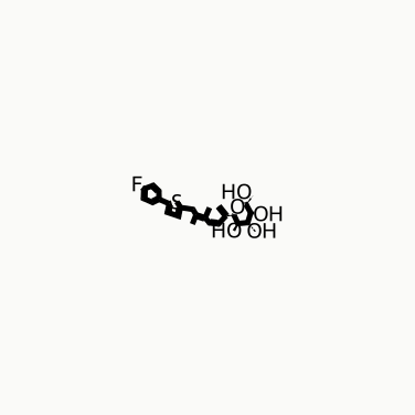 C=C(/C=C\C(C)=C(/C)Cc1ccc(-c2ccc(F)cc2)s1)[C@@H]1O[C@H](CO)[C@@H](O)[C@H](O)[C@H]1O